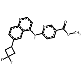 COC(=O)c1ccc(Nc2ccnc3ccc(C4CC(F)(F)C4)cc23)nc1